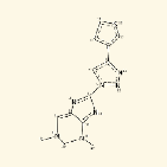 CN1C=C2N=C(n3cc(-c4ccsc4)nn3)N=C2N(C)C1